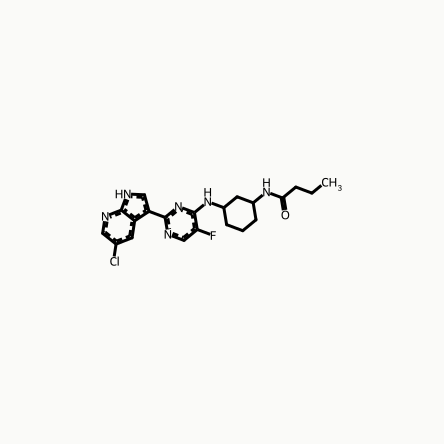 CCCC(=O)NC1CCCC(Nc2nc(-c3c[nH]c4ncc(Cl)cc34)ncc2F)C1